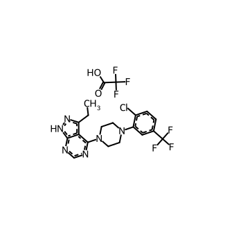 CCc1n[nH]c2ncnc(N3CCN(c4cc(C(F)(F)F)ccc4Cl)CC3)c12.O=C(O)C(F)(F)F